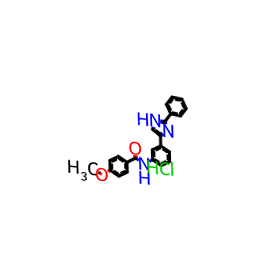 COc1ccc(C(=O)Nc2cccc(-c3c[nH]c(-c4ccccc4)n3)c2)cc1.Cl